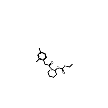 CCOC(=O)OC1CCCCN1C(=O)Cc1ccc(C)cc1C